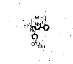 CCNc1nn(C2CCN(C(=O)OC(C)(C)C)CC2)c2cc(-c3ccccc3OCOC)nnc12